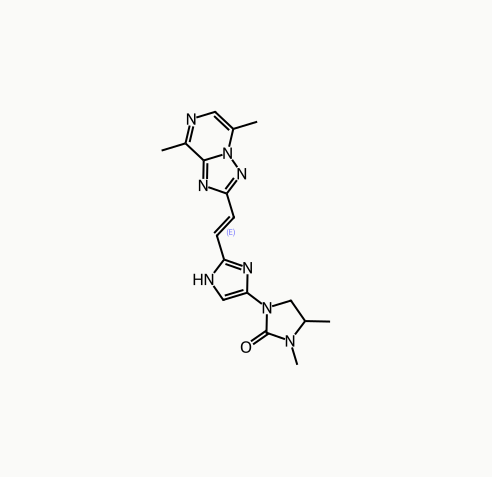 Cc1ncc(C)n2nc(/C=C/c3nc(N4CC(C)N(C)C4=O)c[nH]3)nc12